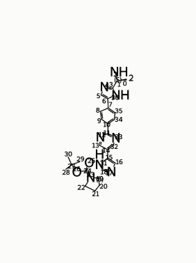 C[C@H](N)c1ncc(-c2ccc(-c3ncc(-c4cnc([C@@H]5CCCN5C(=O)OC(C)(C)C)[nH]4)cn3)cc2)[nH]1